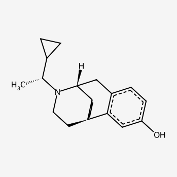 C[C@H](C1CC1)N1CC[C@]23CCCCC2[C@H]1Cc1ccc(O)cc13